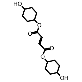 O=C(C=CC(=O)OC1CCC(O)CC1)OC1CCC(O)CC1